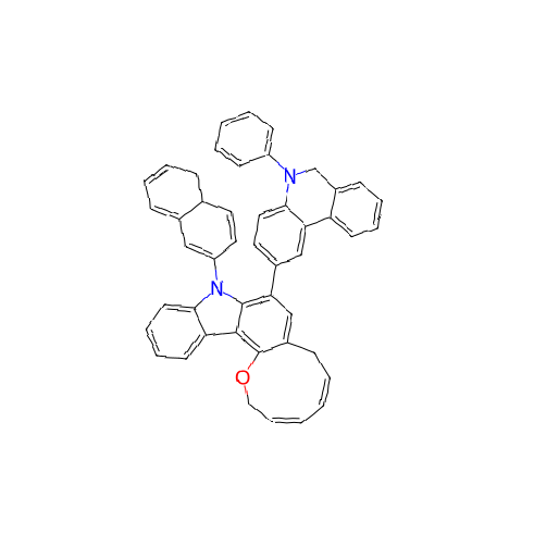 C1=CCC2C=CC(n3c4ccccc4c4c5c(cc(-c6ccc7c(c6)-c6ccccc6CN7c6ccccc6)c43)C/C=C\C=C/CO5)=CC2=C1